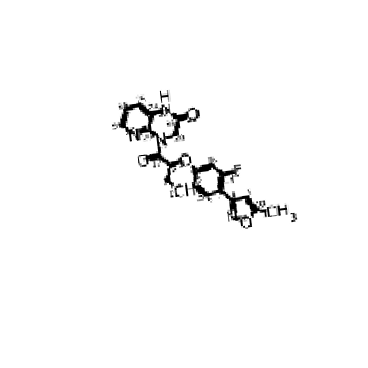 CCC(Oc1ccc(-c2cc(C)on2)c(F)c1)C(=O)N1CC(=O)Nc2cccnc21